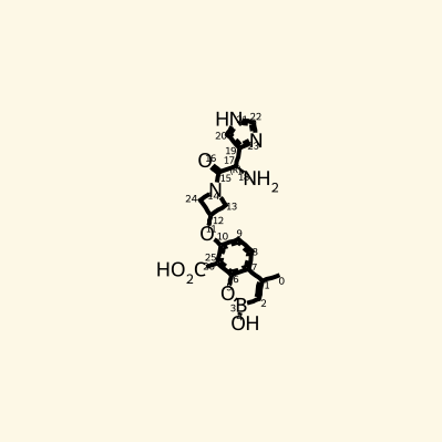 CC1=CB(O)Oc2c1ccc(OC1CN(C(=O)[C@H](N)c3c[nH]cn3)C1)c2C(=O)O